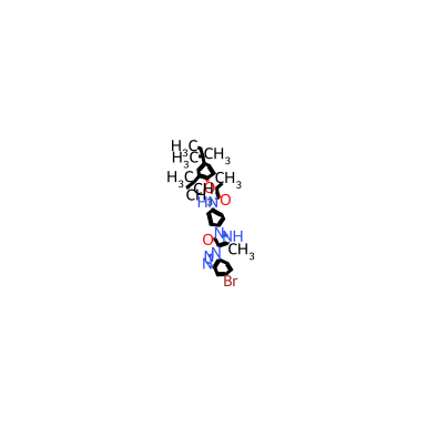 CCC(Oc1ccc(C(C)(C)CC)cc1C(C)(C)CC)C(=O)Nc1ccc(-n2[nH]c(C)c(-n3nnc4cc(Br)ccc43)c2=O)cc1